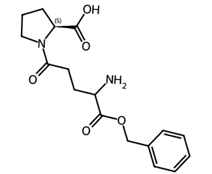 NC(CCC(=O)N1CCC[C@H]1C(=O)O)C(=O)OCc1ccccc1